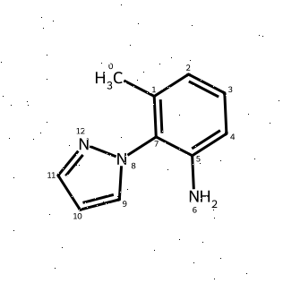 Cc1cccc(N)c1-n1cccn1